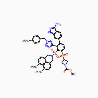 COc1ccc(CN(Cc2ccc(OC)cc2)S(=O)(=O)c2c(S(=O)(=O)C3CN(C(=O)OC(C)(C)C)C3)ccc(-c3ccc4c(N)n[nH]c4c3)c2-c2nnn(Cc3ccc(OC)cc3)n2)cc1